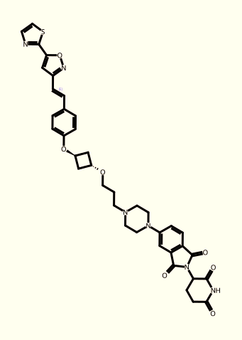 O=C1CCC(N2C(=O)c3ccc(N4CCN(CCCO[C@H]5C[C@H](Oc6ccc(/C=C/c7cc(-c8nccs8)on7)cc6)C5)CC4)cc3C2=O)C(=O)N1